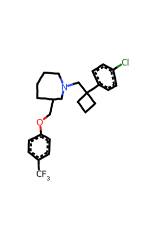 FC(F)(F)c1ccc(OCC2CCCCN(CC3(c4ccc(Cl)cc4)CCC3)C2)cc1